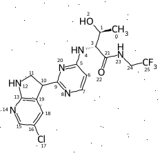 C[C@H](O)[C@@H](Nc1ccnc(C2CNc3ncc(Cl)cc32)n1)C(=O)NCC(F)(F)F